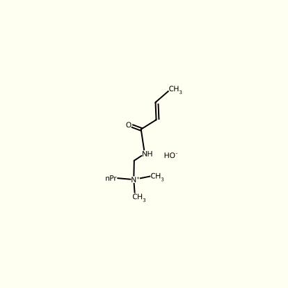 CC=CC(=O)NC[N+](C)(C)CCC.[OH-]